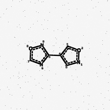 [c]1nocc1-c1ncon1